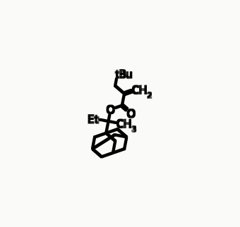 C=C(CC(C)(C)C)C(=O)OC(C)(CC)C12CC3CC(CC(C3)C1)C2